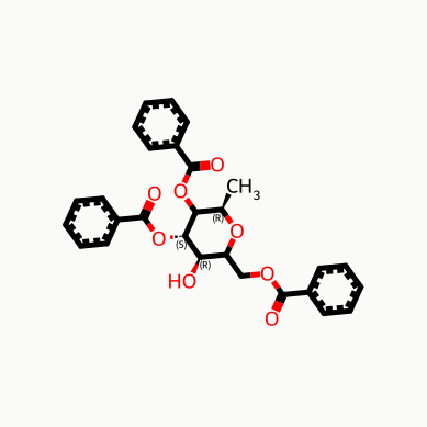 C[C@H]1OC(COC(=O)c2ccccc2)[C@@H](O)[C@H](OC(=O)c2ccccc2)C1OC(=O)c1ccccc1